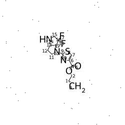 C=CCOC(=O)c1csc(N2CCC3NCC(F)(F)C32)n1